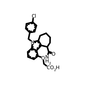 NC(=O)C1CCCCc2c1c1c(OCC(=O)O)cccc1n2Cc1ccc(Cl)cc1